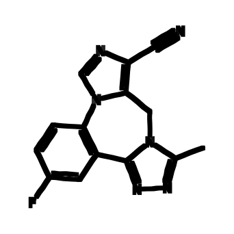 Cc1nnc2n1Cc1c(C#N)ncn1-c1ccc(F)cc1-2